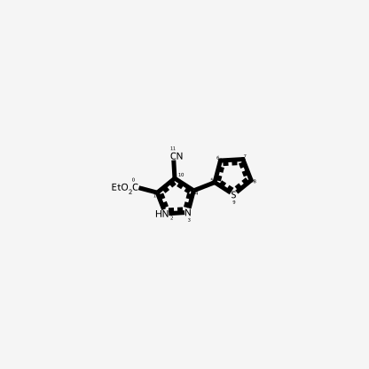 CCOC(=O)c1[nH]nc(-c2cccs2)c1C#N